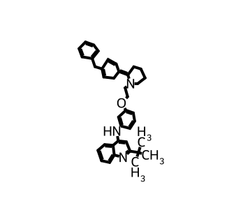 CC(C)(C)c1cc(Nc2cccc(OCCN3CCCCC3=C3C=CC(Cc4ccccc4)=CC3)c2)c2ccccc2n1